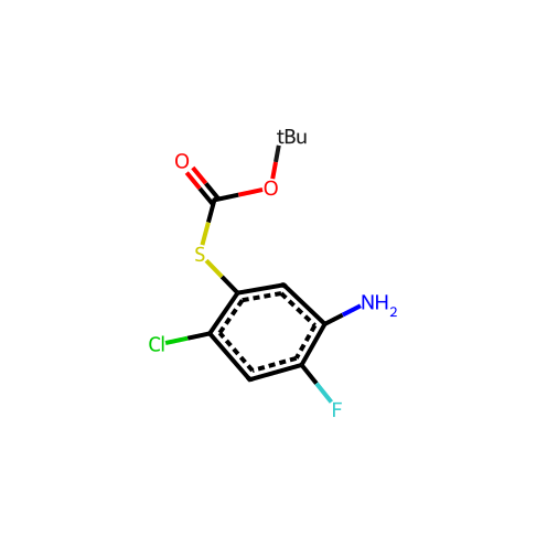 CC(C)(C)OC(=O)Sc1cc(N)c(F)cc1Cl